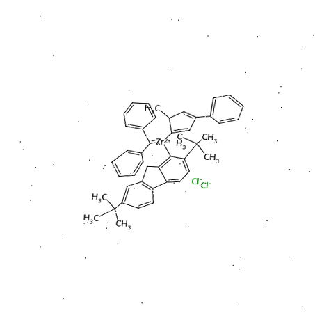 CC1C=C(c2ccccc2)C=[C]1[Zr+2](=[C](c1ccccc1)c1ccccc1)[c]1c(C(C)(C)C)ccc2c1Cc1cc(C(C)(C)C)ccc1-2.[Cl-].[Cl-]